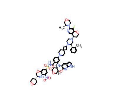 Cc1ccccc1[C@@H]1CN([C@@H]2CCOc3c2cnc(N2CCOC[C@@H]2C)c3F)CCN1C1CC2(CCN(c3ccc(C(=O)NS(=O)(=O)c4cc5c(c([N+](=O)[O-])c4)N[C@H](C4CCOCC4)CO5)c(N4c5cc6cc[nH]c6nc5O[C@H]5COCC[C@@H]54)c3)CC2)C1